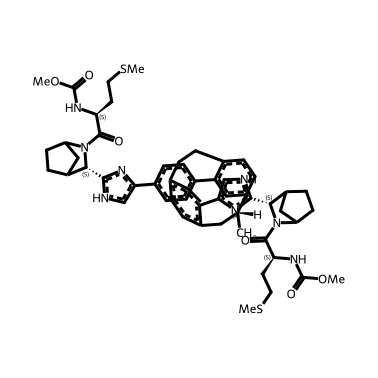 COC(=O)N[C@@H](CCSC)C(=O)N1C2CCC(C2)[C@H]1c1nc(-c2ccc(-c3cc4ccc3CCc3ccc(c(-c5c[nH]c([C@@H]6C7CCC(C7)N6C(=O)[C@H](CCSC)NC(=O)OC)n5)c3)C[C@H]4C)cc2)c[nH]1